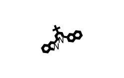 CC(C)(C)c1cc(-c2ccc3ccccc3c2)nc(-c2cc3ccccc3cn2)c1